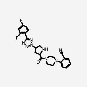 N#Cc1ccccc1N1CCN(C(=O)C2CC(n3nnc(-c4ccc(F)cc4F)n3)CN2)CC1